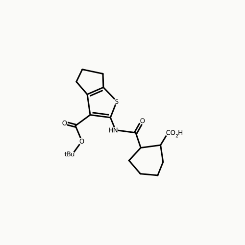 CC(C)(C)OC(=O)c1c(NC(=O)C2CCCCC2C(=O)O)sc2c1CCC2